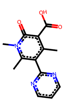 Cc1c(-c2ncccn2)c(C)n(C)c(=O)c1C(=O)O